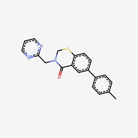 Cc1ccc(-c2ccc3c(c2)C(=O)N(Cc2ncccn2)CS3)cc1